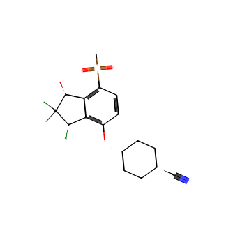 CS(=O)(=O)c1ccc(O[C@H]2CC[C@H](C#N)CC2)c2c1[C@H](O)C(F)(F)[C@@H]2F